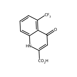 O=C(O)c1cc(=O)c2c(C(F)(F)F)cccc2[nH]1